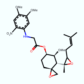 COc1cc(NCC(=O)O[C@@H]2CC[C@]3(CO3)[C@@H]([C@@]3(C)OC3CC=C(C)C)[C@@H]2OC)c([N+](=O)[O-])cc1OC